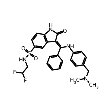 CN(C)Cc1ccc(N/C(=C2\C(=O)Nc3ccc(S(=O)(=O)NCC(F)F)cc32)c2ccccc2)cc1